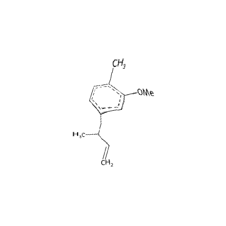 C=C[C](C)c1ccc(C)c(OC)c1